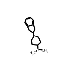 CN(C)C1CCN(C2Cc3ccccc3C2)CC1